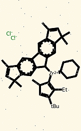 CCC1=[C]([Zr+2](=[C]2CCCCC2)[CH]2c3cc4c(cc3-c3cc5c(cc32)C(C)(C)C=C5C)C(C)=CC4(C)C)C(C)C=C1C(C)(C)C.[Cl-].[Cl-]